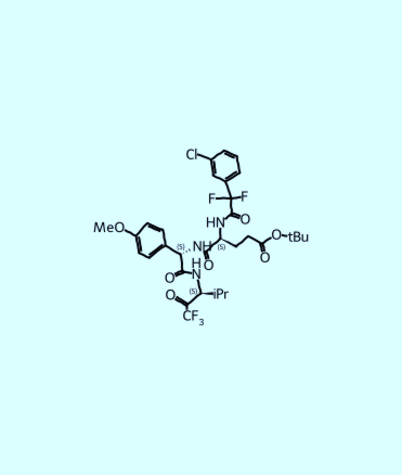 COc1ccc([C@H](NC(=O)[C@H](CCC(=O)OC(C)(C)C)NC(=O)C(F)(F)c2cccc(Cl)c2)C(=O)N[C@H](C(=O)C(F)(F)F)C(C)C)cc1